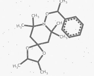 CC(ON1C(C)(C)CC2(CC1(C)C)OC(C)C(C)O2)c1ccccc1